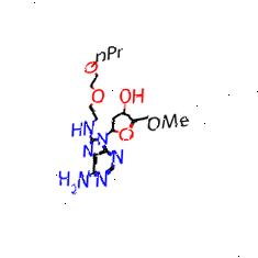 CCCOCCOCCNc1nc2c(N)ncnc2n1C1CC(O)C(COC)O1